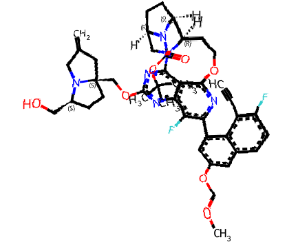 C#Cc1c(F)ccc2cc(OCOC)cc(-c3nc4c5c(nc(OC[C@@]67CC[C@@H](CO)N6CC(=C)C7)nc5c3F)N3C[C@H]5CC[C@@H]([C@H]3CCO4)N5C(=O)OC(C)(C)C)c12